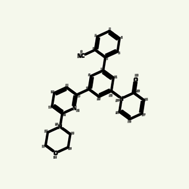 N#Cc1ccccc1-c1cc(-c2cccc(N3CCOCC3)n2)cc(-n2ccccc2=O)c1